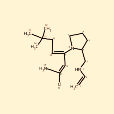 C=CNCC1CCCN1C(=C\CC(C)(C)C)/C=C(\N)Cl